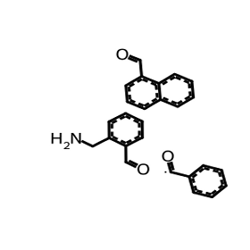 NCc1ccccc1C=O.O=Cc1cccc2ccccc12.O=[C]c1ccccc1